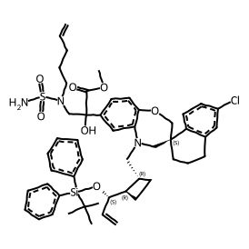 C=CCCCN(CC(O)(C(=O)OC)c1ccc2c(c1)N(C[C@@H]1CC[C@H]1[C@H](C=C)O[Si](c1ccccc1)(c1ccccc1)C(C)(C)C)C[C@@]1(CCCc3cc(Cl)ccc31)CO2)S(N)(=O)=O